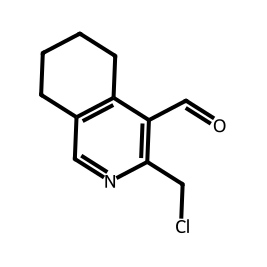 O=Cc1c(CCl)ncc2c1CCCC2